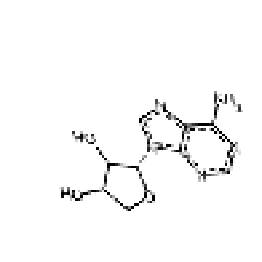 Nc1ncnc2c1ncn2[C@@H]1OCC(O)C1O